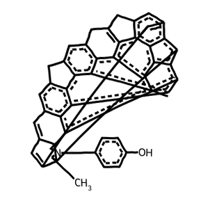 CC1N(c2ccc(O)cc2)CC23C4=Cc5cc6c7c8c(cc9c%10c%11c%12c%13c(cc%14c%15c(c%16c%17c2c5c7c%17c(c8%10)c%11c%16c%15%13)C13C(=C4)C=%14)CC=%12C9)C6